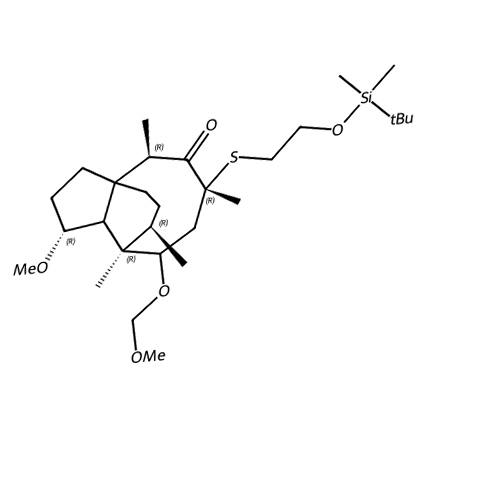 COCOC1C[C@@](C)(SCCO[Si](C)(C)C(C)(C)C)C(=O)[C@H](C)C23CC[C@@H](C)[C@]1(C)C2[C@H](OC)CC3